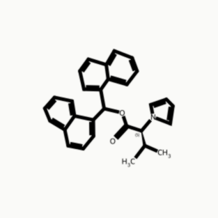 CC(C)[C@@H](C(=O)OC(c1cccc2ccccc12)c1cccc2ccccc12)n1cccc1